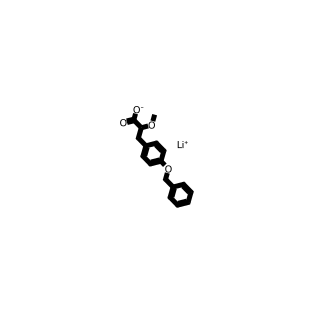 COC(Cc1ccc(OCc2ccccc2)cc1)C(=O)[O-].[Li+]